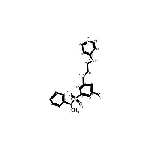 CN(c1ccccc1)S(=O)(=O)c1cc(Cl)cc(OCCNc2ccncc2)c1